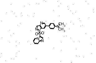 CN(C)c1ccc(-c2cnc3cnn(S(=O)(=O)c4cnc5ccccn45)c3c2)cc1